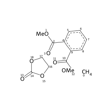 C.COC(=O)c1ccccc1C(=O)OC.O=C1OCCO1